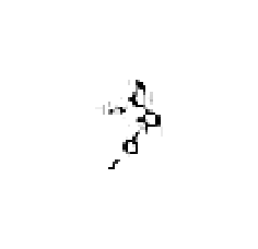 CCCOc1ccc(C(=O)Nc2cccc(-c3cc(NC(=O)NC)c4nccn4n3)c2C)cc1